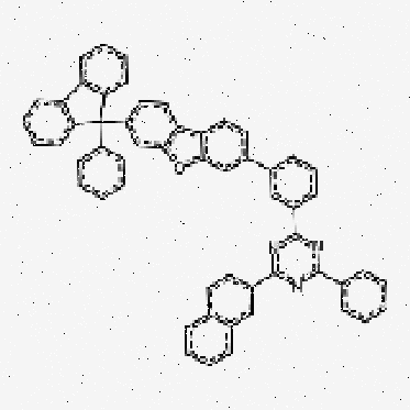 c1ccc(-c2nc(-c3cccc(-c4ccc5c(c4)oc4cc(C6(c7ccccc7)c7ccccc7-c7ccccc76)ccc45)c3)nc(-c3ccc4ccccc4c3)n2)cc1